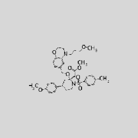 COCCCN1CCOc2ccc(CO[C@@]3(CC(=O)OC)C[C@H](c4ccc(OC)cc4)CCN3S(=O)(=O)c3ccc(C)cc3)cc21